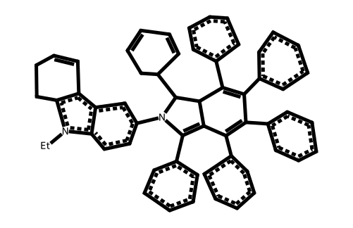 CCn1c2c(c3cc(N4C(c5ccccc5)=C5C(c6ccccc6)=C(c6ccccc6)C(c6ccccc6)=C(c6ccccc6)C5C4C4C=CC=CC4)ccc31)C=CCC2